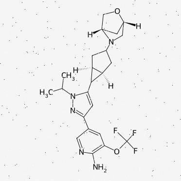 CC(C)n1nc(-c2cnc(N)c(OC(F)(F)F)c2)cc1C1[C@H]2CC(N3C[C@@H]4C[C@H]3CO4)C[C@@H]12